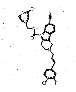 Cc1cc(CNC(=O)n2c3c(c4ccc(C#N)cc42)CN(CC=Cc2ccc(Cl)c(F)c2)CC3)ccn1